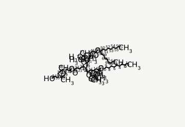 CCCCCCCCCCCOC(=O)CCCC(CN(CCCC(=O)OCCN1CC(C)N(CCO)CC1C)CC(CCCCCC(=O)OC(CCCCCCCC)CCCCCCCC)O[Si](C)(C)C(C)(C)C)O[Si](C)(C)C(C)(C)C